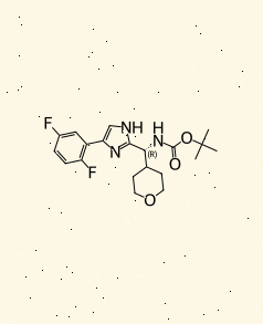 CC(C)(C)OC(=O)N[C@@H](c1nc(-c2cc(F)ccc2F)c[nH]1)C1CCOCC1